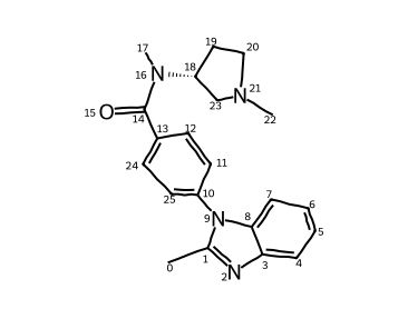 Cc1nc2ccccc2n1-c1ccc(C(=O)N(C)[C@@H]2CCN(C)C2)cc1